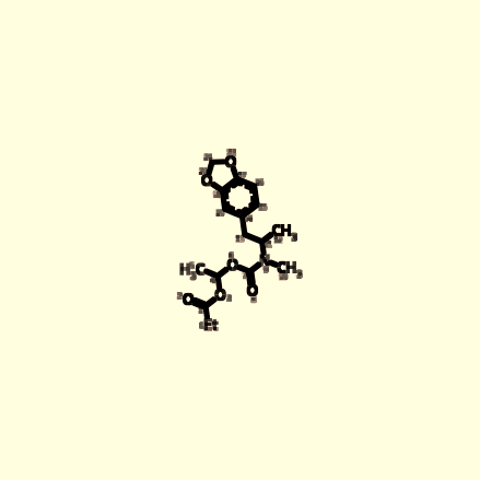 CCC(=O)OC(C)OC(=O)N(C)C(C)Cc1ccc2c(c1)OCO2